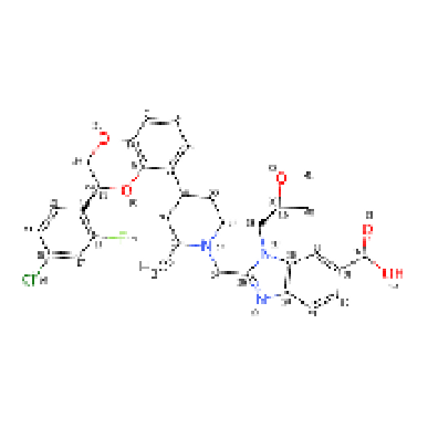 CC1CC(c2cccc3c2O[C@@H](c2ccc(Cl)cc2F)CO3)CCN1Cc1nc2ccc(C(=O)O)cc2n1C[C@@H]1CCO1